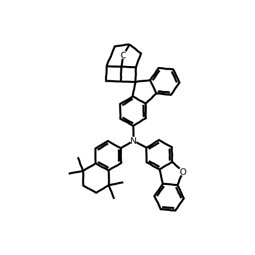 CC1(C)CCC(C)(C)c2cc(N(c3ccc4c(c3)-c3ccccc3C43C4CC5CC6CC3C64C5)c3ccc4oc5ccccc5c4c3)ccc21